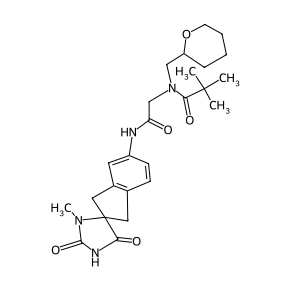 CN1C(=O)NC(=O)C12Cc1ccc(NC(=O)CN(CC3CCCCO3)C(=O)C(C)(C)C)cc1C2